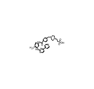 Cc1ccc(NC(=O)c2ccc(CN3CCN(CCS(=O)(=O)O)CC3)cc2)cc1Nc1nccc(-c2ccncc2)n1